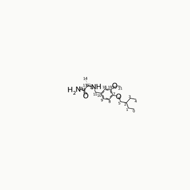 CCC(CC)COc1ccc(CN[C@@H](C)C(N)=O)cc1OC